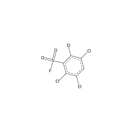 O=S(=O)(F)c1c(Cl)c(Cl)cc(Cl)c1Cl